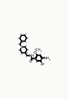 COc1cc(N)c(Br)cc1C(=O)NCC1CCN(CC2CCCCC2)CC1